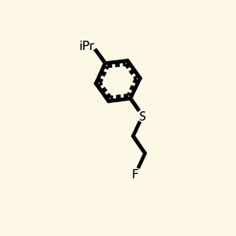 CC(C)c1ccc(SCCF)cc1